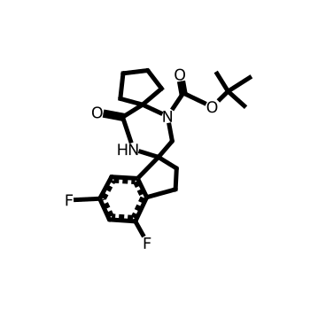 CC(C)(C)OC(=O)N1CC2(CCc3c(F)cc(F)cc32)NC(=O)C12CCCC2